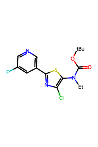 CCN(C(=O)OC(C)(C)C)c1sc(-c2cncc(F)c2)nc1Cl